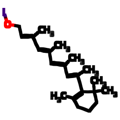 CC1=C(/C(C)=C/C(C)=C/C(C)=C/C(C)=C/COI)C(C)(C)CCC1